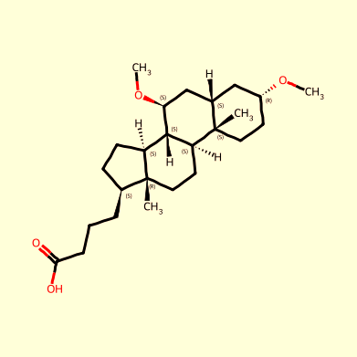 CO[C@@H]1CC[C@@]2(C)[C@@H](C1)C[C@H](OC)[C@@H]1[C@@H]2CC[C@]2(C)[C@@H](CCCC(=O)O)CC[C@@H]12